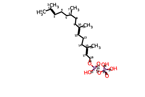 CC(C)=CCC[C@@H](C)CC/C(C)=C/CC/C(C)=C/COP(=O)(O)OP(=O)(O)O